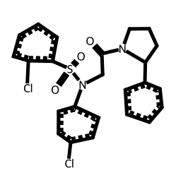 O=C(CN(c1ccc(Cl)cc1)S(=O)(=O)c1ccccc1Cl)N1CCCC1c1ccccc1